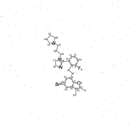 Cc1oc2c(CCc3c(F)cccc3C3=NCCN3CCCN3CCCC3)cc(Br)cc2c1C